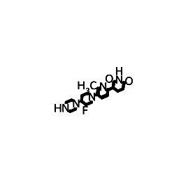 Cc1nc(C2CCC(=O)NC2=O)ccc1N1CC[C@H](N2CCNCC2)[C@@H](F)C1